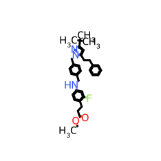 CCOC(=O)CCc1ccc(NCc2ccc(Cn3nc(C(C)(C)C)cc3CCc3ccccc3)cc2)cc1F